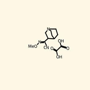 CON=C(C#N)C1CN2CCC1CC2.O=C(O)C(=O)O